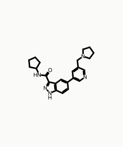 O=C(NC1CCCC1)c1n[nH]c2ccc(-c3cncc(CN4CCCC4)c3)cc12